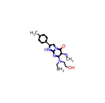 BCN(CCO)c1nc2[nH]c(-c3ccc(C)cc3)cn2c(=O)c1N=C